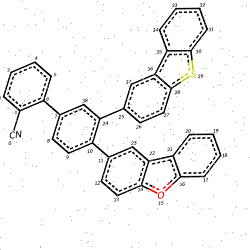 N#Cc1ccccc1-c1ccc(-c2ccc3oc4ccccc4c3c2)c(-c2ccc3sc4ccccc4c3c2)c1